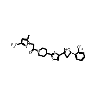 Cc1cc(C(F)(F)F)nn1CC(=O)N1CCC(c2nc(C3=NO[C@@H](c4ccccc4C(F)(F)F)C3)cs2)CC1